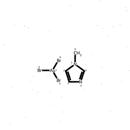 Cn1ccnc1.[Br][Au]([Br])[Br]